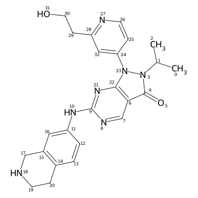 CC(C)n1c(=O)c2cnc(Nc3ccc4c(c3)CNCC4)nc2n1-c1ccnc(CCO)c1